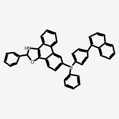 c1ccc(C2Nc3c(c4ccc(N(c5ccccc5)c5ccc(-c6cccc7ccccc67)cc5)cc4c4ccccc34)O2)cc1